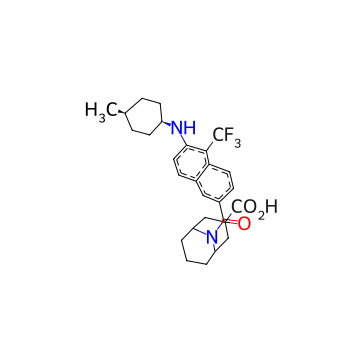 C[C@H]1CC[C@@H](Nc2ccc3cc(C(=O)N4C5CCCC4CC(C(=O)O)C5)ccc3c2C(F)(F)F)CC1